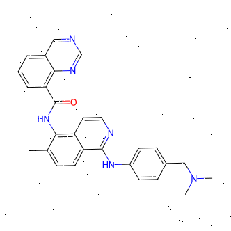 Cc1ccc2c(Nc3ccc(CN(C)C)cc3)nccc2c1NC(=O)c1cccc2cncnc12